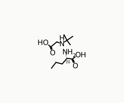 CC(C)(C)NCC(=O)O.CCC[C@H](N)C(=O)O